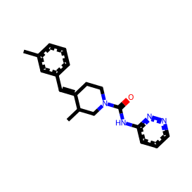 Cc1cccc(/C=C2\CCN(C(=O)Nc3cccnn3)CC2C)c1